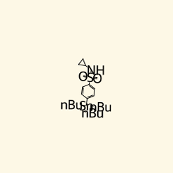 CCC[CH2][Sn]([CH2]CCC)([CH2]CCC)[c]1ccc(S(=O)(=O)NC2CC2)cc1